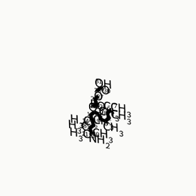 CC(CCC(C)(C)C)CC(C)C(CC(C)(C)CC(C)C(C)(C)N)OC(=O)COCC(=O)O